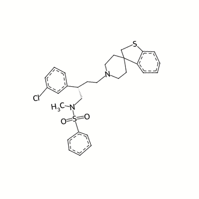 CN(C[C@@H](CCN1CCC2(CC1)CSc1ccccc12)c1cccc(Cl)c1)S(=O)(=O)c1ccccc1